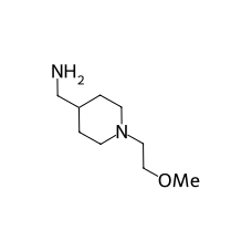 COCCN1CCC(CN)CC1